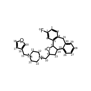 Fc1ccc2c(c1)C1OC(CN3CCN(Cc4ccoc4)CC3)CC1c1ccccc1C2